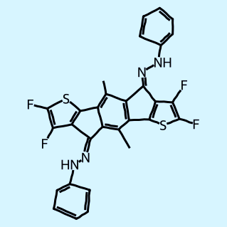 Cc1c2/c(=N/Nc3ccccc3)c3c(F)c(F)sc3c2c(C)c2/c(=N/Nc3ccccc3)c3c(F)c(F)sc3c12